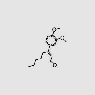 CCCCCC(=CC=O)c1ccc(OC)c(OC)c1